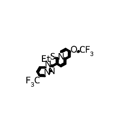 CCSC1=C(c2nc3ccc(C(F)(F)F)cn3n2)C=C=C2C=C(OCC(F)(F)F)C=CN21